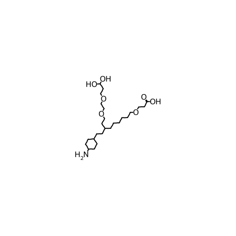 NC1CCC(CCC(CCCCCCOCCC(=O)O)CCOCCOCCC(O)O)CC1